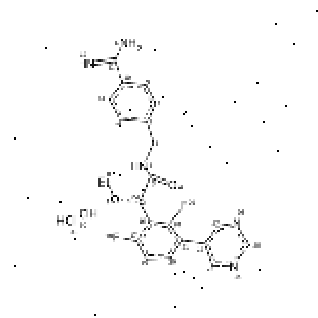 CCO[C@H](C(=O)NCc1ccc(C(=N)N)cc1)c1c(F)ccc(-c2cncnc2)c1F.Cl.Cl